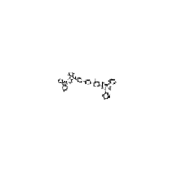 Cc1cc(-c2cc(-c3ccccc3)nc(-c3ccccc3)n2)ccc1-c1ccc(-c2ccc(-n3c4ccccc4c4cc(-n5c6ccccc6c6ccccc65)ccc43)cc2)cc1